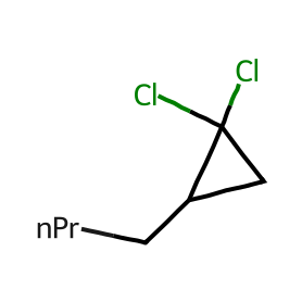 CCCCC1CC1(Cl)Cl